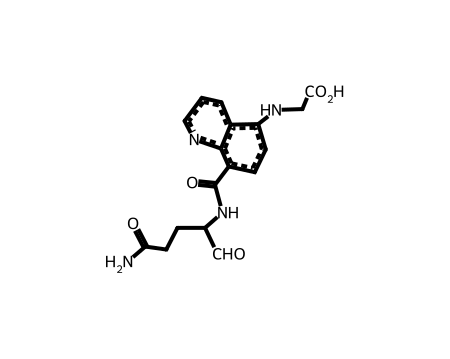 NC(=O)CCC(C=O)NC(=O)c1ccc(NCC(=O)O)c2cccnc12